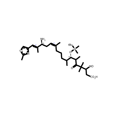 C/C(=C/C[C@H](N)/C(C)=C/c1csc(C)n1)CCCC(C)[C@H](O[Si](C)(C)C(C)(C)C)C(C)C(=O)C(C)(C)C(CC(=O)O)N=O